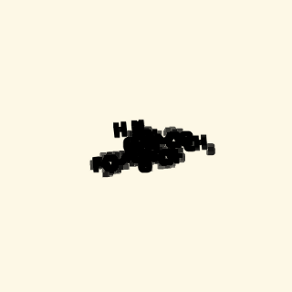 COc1ccc(CCN(CC(N)=O)C(=O)CC2C(=O)N(CCc3ccc(F)cc3)CC(=O)N2CCc2ccc(F)cc2)cc1